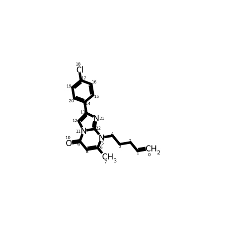 C=CCCCn1c(C)cc(=O)n2cc(-c3ccc(Cl)cc3)nc12